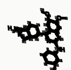 COc1cc2nc(Nc3cccc(F)c3)nc(-c3ccc4[nH]ncc4c3)c2cc1OC.N